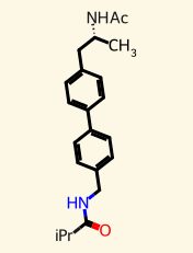 CC(=O)N[C@H](C)Cc1ccc(-c2ccc(CNC(=O)C(C)C)cc2)cc1